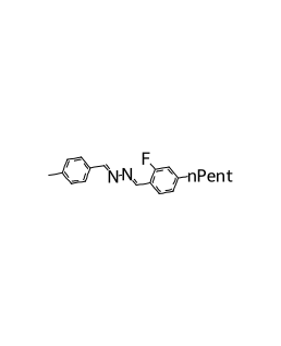 CCCCCc1ccc(C=NN=Cc2ccc(C)cc2)c(F)c1